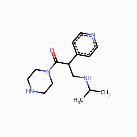 CC(C)NCC(C(=O)N1CCNCC1)c1ccncc1